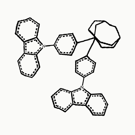 c1ccc2c(c1)c1ccccc1n2-c1ccc(C2(c3ccc(-n4c5ccccc5c5ccccc54)cc3)C3CCC4CC(CCC2C4)C3)cc1